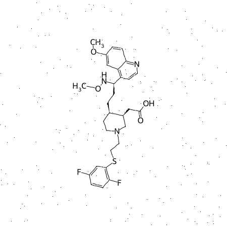 CON[C@H](CC[C@@H]1CCN(CCSc2cc(F)ccc2F)C[C@@H]1CC(=O)O)c1ccnc2ccc(OC)cc12